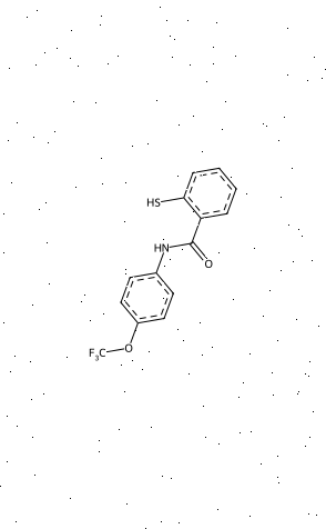 O=C(Nc1ccc(OC(F)(F)F)cc1)c1ccccc1S